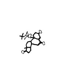 CC12CCC3C(CC(=O)C4CC(=O)CCC43CO[Si](C)(C)C(C)(C)C)C1CCC2=O